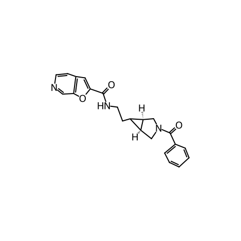 O=C(NCCC1[C@H]2CN(C(=O)c3ccccc3)C[C@@H]12)c1cc2ccncc2o1